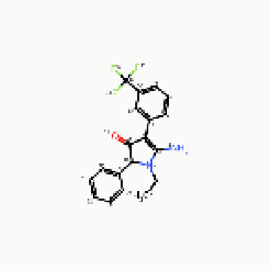 CCN1C(N)=C(c2cccc(C(F)(F)F)c2)C(=O)C1c1ccccc1